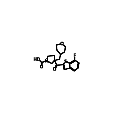 O=C(O)N1CCC(CC2CCOCC2)(C(=O)c2cc3cccc(F)c3s2)C1